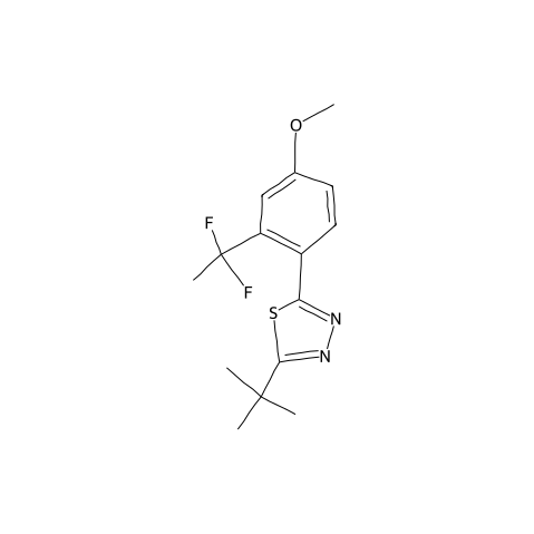 COc1ccc(-c2nnc(C(C)(C)C)s2)c(C(C)(F)F)c1